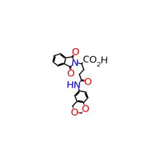 O=C(CCC(C(=O)O)N1C(=O)c2ccccc2C1=O)Nc1ccc2c(c1)COCO2